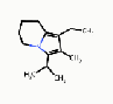 CCc1c(C)c(C(C)C)n2c1CCCC2